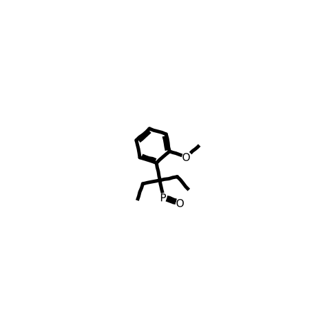 CCC(CC)(P=O)c1ccccc1OC